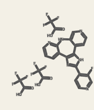 Fc1cnccc1-c1nc2c([nH]1)-c1ccncc1Nc1ncccc1-2.O=C(O)C(F)(F)F.O=C(O)C(F)(F)F.O=C(O)C(F)(F)F